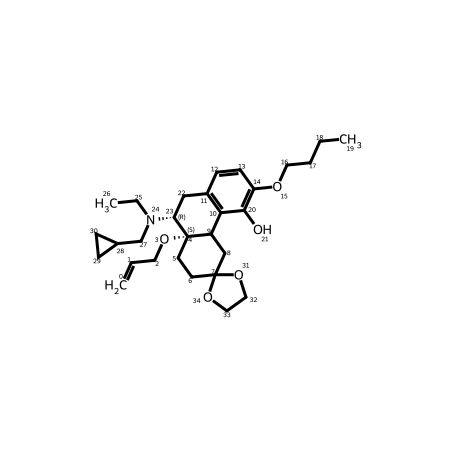 C=CCO[C@@]12CCC3(CC1c1c(ccc(OCCCC)c1O)C[C@H]2N(CC)CC1CC1)OCCO3